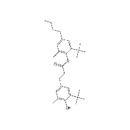 CCCCc1cc(C)c(OC(=O)CCc2cc(C)c(O)c(C(C)(C)C)c2)c(C(C)(C)C)c1